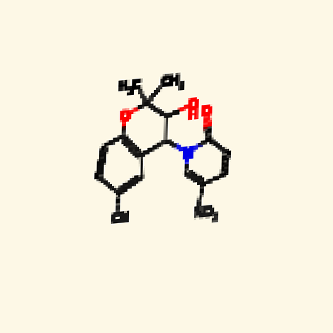 CC1(C)Oc2ccc(C#N)cc2C(n2cc([N+](=O)[O-])ccc2=O)C1O